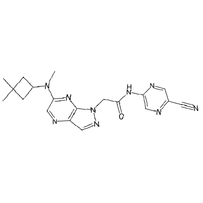 CN(c1cnc2cnn(CC(=O)Nc3cnc(C#N)cn3)c2n1)C1CC(C)(C)C1